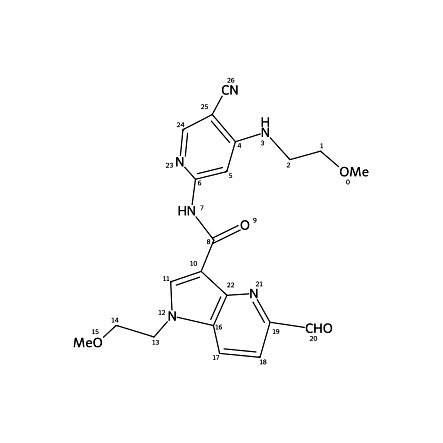 COCCNc1cc(NC(=O)c2cn(CCOC)c3ccc(C=O)nc23)ncc1C#N